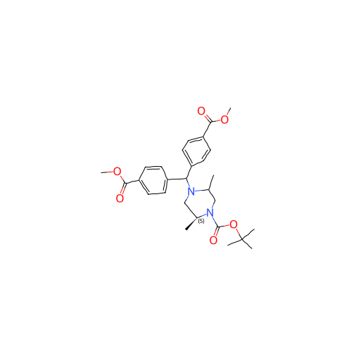 COC(=O)c1ccc(C(c2ccc(C(=O)OC)cc2)N2C[C@H](C)N(C(=O)OC(C)(C)C)CC2C)cc1